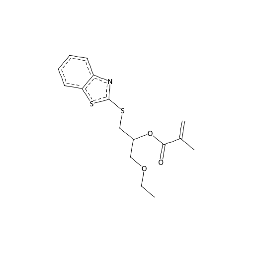 C=C(C)C(=O)OC(COCC)CSc1nc2ccccc2s1